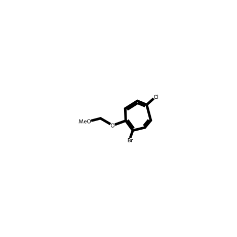 COCOC1=C(Br)C=CC(Cl)=C=C1